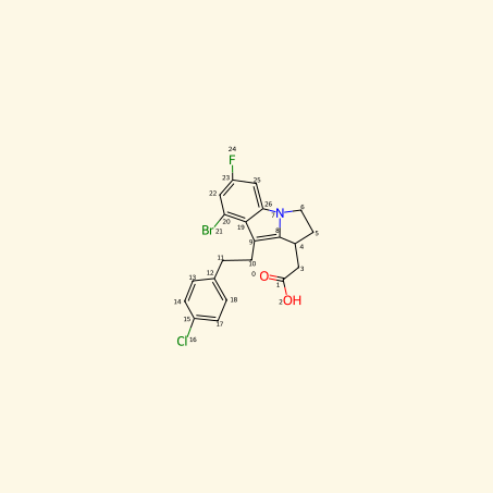 O=C(O)CC1CCn2c1c(CCc1ccc(Cl)cc1)c1c(Br)cc(F)cc12